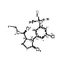 CCOC(=O)C1CCC(=O)N1c1cc(Cl)cc(C(F)(F)F)c1